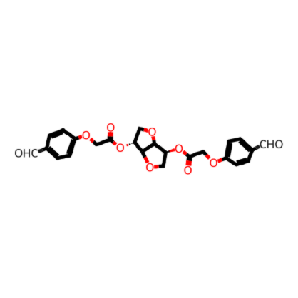 O=Cc1ccc(OCC(=O)O[C@H]2COC3C2OC[C@H]3OC(=O)COc2ccc(C=O)cc2)cc1